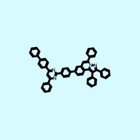 c1ccc(-c2ccc(-c3cc(-c4ccccc4)nc(-c4ccc(-c5ccc6c(c5)cc(-c5ccccc5)n5nc(-c7ccccc7)c(-c7ccccc7)c65)cc4)n3)cc2)cc1